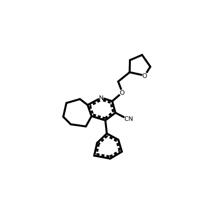 N#Cc1c(OCC2CCCO2)nc2c(c1-c1ccccc1)CCCCC2